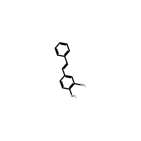 Nc1ccc(/C=C/c2ccccc2)cc1N